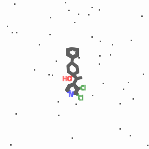 CC(c1ccnc(Cl)c1Cl)C1(O)CCC(c2ccccc2)CC1